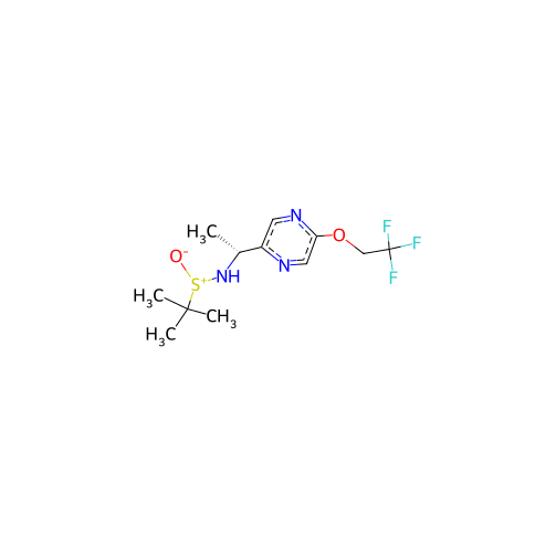 C[C@@H](N[S+]([O-])C(C)(C)C)c1cnc(OCC(F)(F)F)cn1